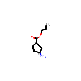 C=CCOC(=O)[C@@H]1C=C[C@H](N)C1